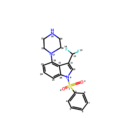 O=S(=O)(c1ccccc1)n1cc(C(F)F)c2c(N3CCNCC3)cccc21